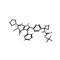 Cn1c(N2CCCC2)nc2oc(-c3ccc(C4(NC(=O)OC(C)(C)C)CCC4)cc3)c(-c3ccccc3)c2c1=O